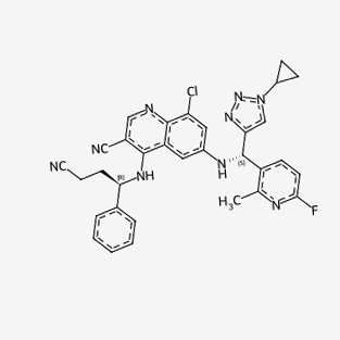 Cc1nc(F)ccc1[C@H](Nc1cc(Cl)c2ncc(C#N)c(N[C@H](CCC#N)c3ccccc3)c2c1)c1cn(C2CC2)nn1